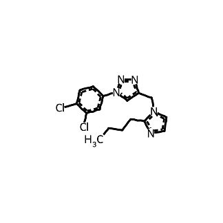 CCCCc1nccn1Cc1cn(-c2ccc(Cl)c(Cl)c2)nn1